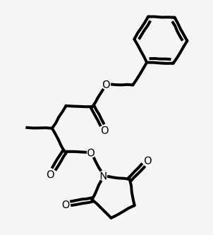 CC(CC(=O)OCc1ccccc1)C(=O)ON1C(=O)CCC1=O